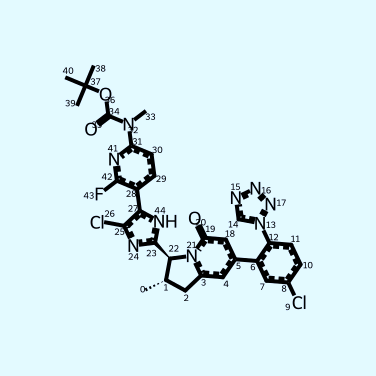 C[C@H]1Cc2cc(-c3cc(Cl)ccc3-n3cnnn3)cc(=O)n2[C@@H]1c1nc(Cl)c(-c2ccc(N(C)C(=O)OC(C)(C)C)nc2F)[nH]1